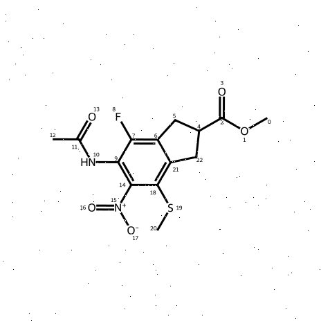 COC(=O)C1Cc2c(F)c(NC(C)=O)c([N+](=O)[O-])c(SC)c2C1